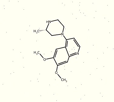 COc1cc2nccc(N3CCN[C@@H](C)C3)c2cc1OC